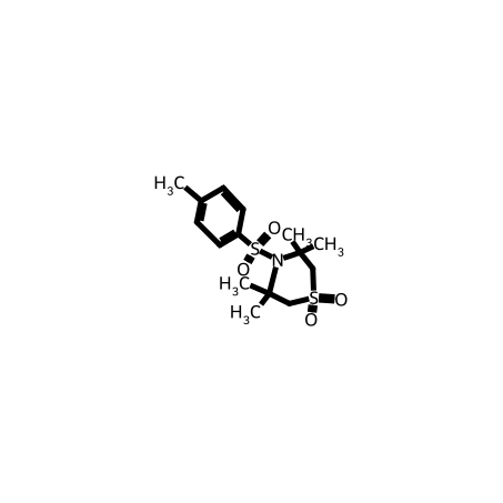 Cc1ccc(S(=O)(=O)N2C(C)(C)CS(=O)(=O)CC2(C)C)cc1